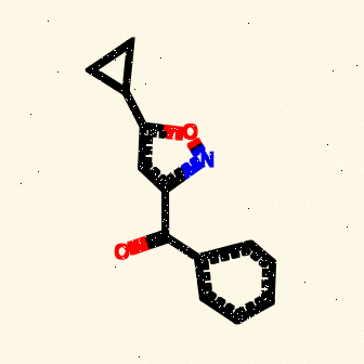 O=C(c1ccccc1)c1cc(C2CC2)on1